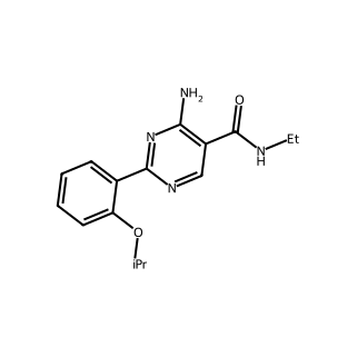 CCNC(=O)c1cnc(-c2ccccc2OC(C)C)nc1N